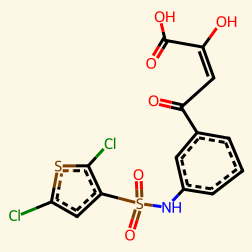 O=C(O)/C(O)=C\C(=O)c1cccc(NS(=O)(=O)c2cc(Cl)sc2Cl)c1